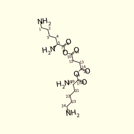 NCCCC[C@H](N)C(=O)OC(=O)CCC(=O)OC(=O)[C@@H](N)CCCCN